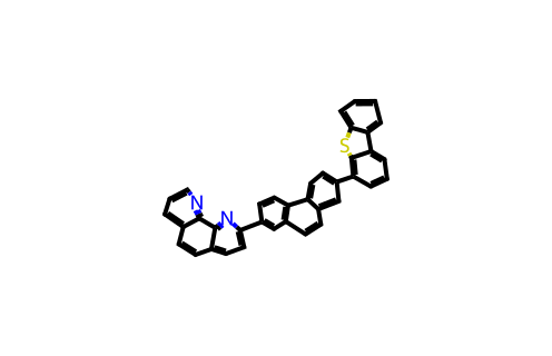 c1cnc2c(c1)ccc1ccc(-c3ccc4c(ccc5cc(-c6cccc7c6sc6ccccc67)ccc54)c3)nc12